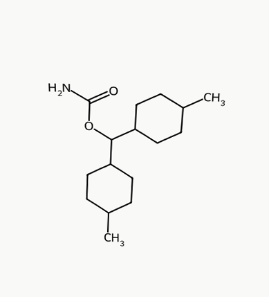 CC1CCC(C(OC(N)=O)C2CCC(C)CC2)CC1